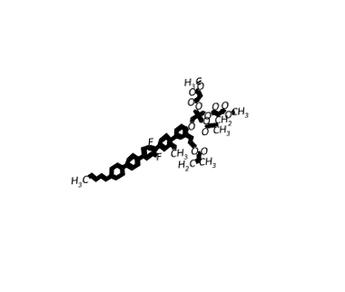 C=C(C)C(=O)OCCCc1cc(-c2ccc(-c3c(F)cc(-c4ccc(C5CCC(CCCCC)CC5)cc4)cc3F)cc2CC)ccc1OCC(COC(=O)CC(=O)OC)(COC(=O)CC(=O)OC)COC(=O)C(=C)C